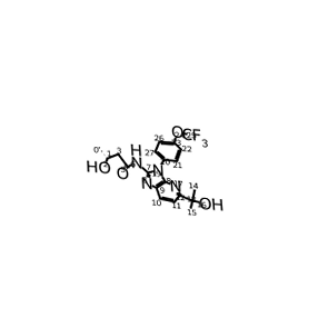 C[C@@H](O)CC(=O)Nc1nc2ccc(C(C)(C)O)nc2n1-c1ccc(OC(F)(F)F)cc1